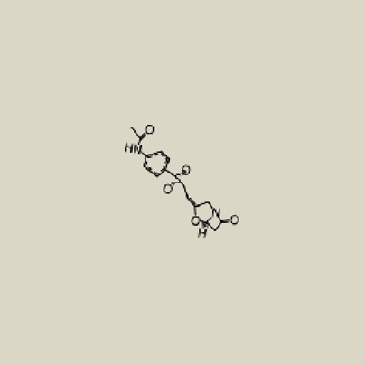 CC(=O)Nc1ccc(S(=O)(=O)CC=C2CN3C(=O)C[C@H]3O2)cc1